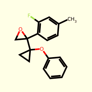 Cc1ccc(C2(C3(Oc4ccccc4)CC3)CO2)c(F)c1